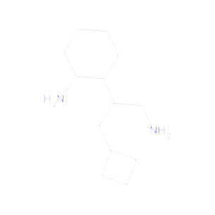 NCC(CC1CCC1)C1CCCC[C@H]1N